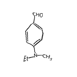 [CH2]CN(C)c1ccc(C=O)cc1